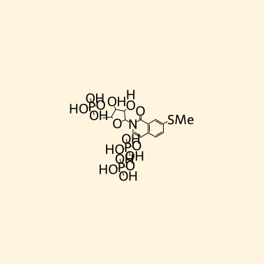 CSc1ccc2ccn(C3OC(C)C(O)C3O)c(=O)c2c1.O=P(O)(O)O.O=P(O)(O)O.O=P(O)(O)O